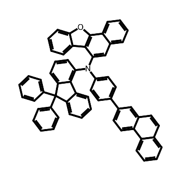 c1ccc(C2(c3ccccc3)c3ccccc3-c3c(N(c4ccc(-c5ccc6c(ccc7ccccc76)c5)cc4)c4cc5ccccc5c5oc6ccccc6c45)cccc32)cc1